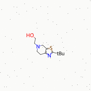 CC(C)(C)c1nc2c(s1)CN(CCO)CC2